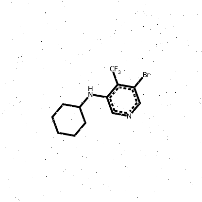 FC(F)(F)c1c(Br)cncc1NC1CCCCC1